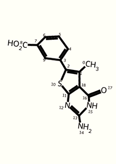 Cc1c(-c2cccc(C(=O)O)c2)sc2nc(N)[nH]c(=O)c12